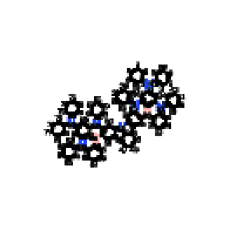 c1ccc(N(c2ccccc2)c2cc3c4c(c2)N(c2ccccc2)c2cc5c(cc2B4c2ccccc2N3c2ccccc2)c2cccc3c4cc6c(cc4n5c23)N(c2ccccc2)c2cc(N(c3ccccc3)c3ccccc3)cc3c2B6c2ccccc2N3c2ccccc2)cc1